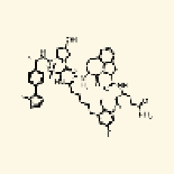 Cc1ncsc1-c1ccc([C@H](C)NC(=O)[C@@H]2C[C@@H](O)CN2C(=O)[C@@H](NC(=O)CCCCCc2cc(F)cc(OC[C@H](CCC(N)=O)NC(=O)[C@@H]3Cc4cccc5c4N3C(=O)[C@@H](N)CC5)c2F)C(C)(C)C)cc1